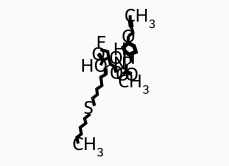 CC#CCOc1ccc(C[C@H](NC(=O)[C@@H](C=CCCCCCCSCCCCCCC)[C@@](O)(CCF)C(=O)O)C(=O)OC)cc1